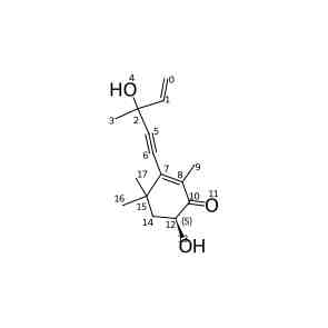 C=CC(C)(O)C#CC1=C(C)C(=O)[C@@H](O)CC1(C)C